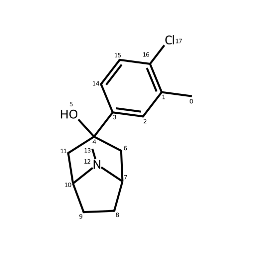 Cc1cc(C2(O)CC3CCC(C2)N3C)ccc1Cl